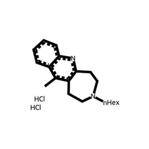 CCCCCCN1CCc2nc3ccccc3c(C)c2CC1.Cl.Cl